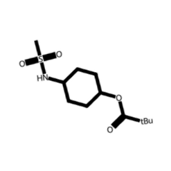 CC(C)(C)C(=O)OC1CCC(NS(C)(=O)=O)CC1